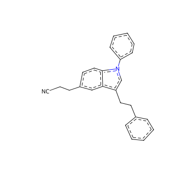 N#CCCc1ccc2c(c1)c(CCc1ccccc1)cn2-c1ccccc1